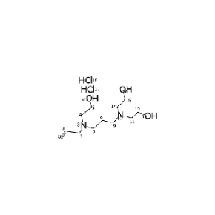 C=CCN(CCO)CCCN(CCO)CCO.Cl.Cl